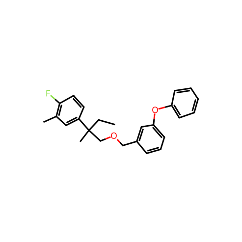 CCC(C)(COCc1cccc(Oc2ccccc2)c1)c1ccc(F)c(C)c1